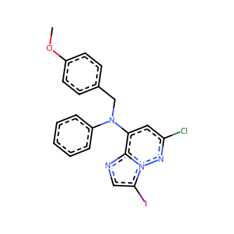 COc1ccc(CN(c2ccccc2)c2cc(Cl)nn3c(I)cnc23)cc1